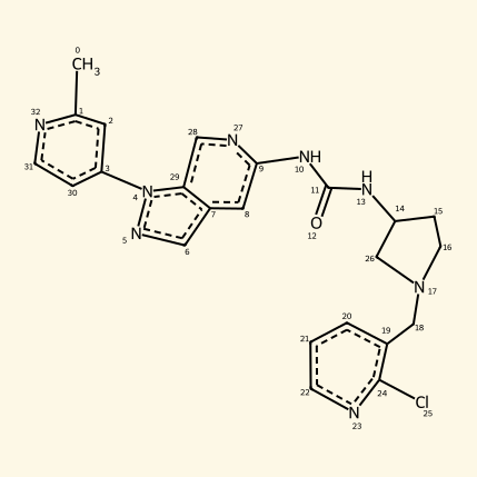 Cc1cc(-n2ncc3cc(NC(=O)NC4CCN(Cc5cccnc5Cl)C4)ncc32)ccn1